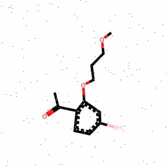 Bc1ccc(C(C)=O)c(OCCCOC)c1